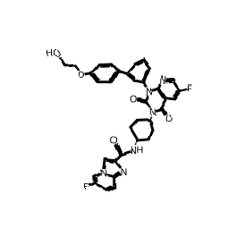 O=C(N[C@H]1CC[C@@H](n2c(=O)c3cc(F)cnc3n(-c3cccc(-c4ccc(OCCO)cc4)c3)c2=O)CC1)c1cn2cc(F)ccc2n1